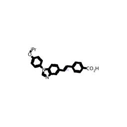 CC(C)Oc1ccc(-n2cnc3cc(/C=C/c4ccc(C(=O)O)cc4)ccc32)cc1